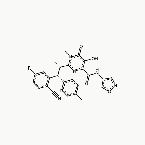 Cc1cnc([C@H](c2cc(F)ccc2C#N)[C@H](C)c2nc(C(=O)Nc3cnoc3)c(O)c(=O)n2C)cn1